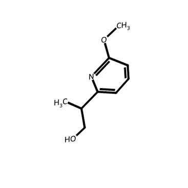 COc1cccc(C(C)CO)n1